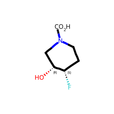 O=C(O)N1CC[C@H](F)[C@H](O)C1